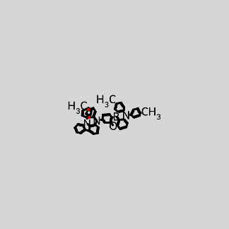 Cc1ccc(N2c3ccc(C)cc3B3c4ccc(N(c5ccc(C)cc5)c5cccc6c7ccccc7n(-c7ccccc7)c56)cc4Oc4cccc2c43)cc1